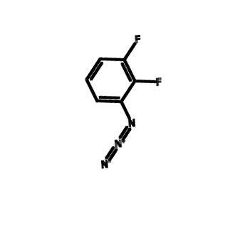 [N-]=[N+]=Nc1cccc(F)c1F